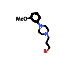 COc1cccc(N2CCN(CCCBr)CC2)c1